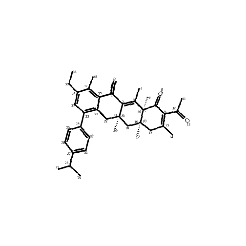 C=C1C2=C(C)[C@@]3(C)C(=O)C(C(C)=O)=C(C)C[C@@]3(C)C[C@@]2(C)Cc2c(-c3ccc(C(C)C)cc3)cc(CC)c(C)c21